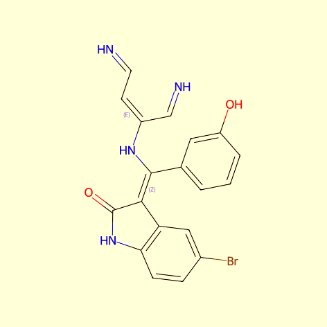 N=C/C=C(\C=N)N/C(=C1\C(=O)Nc2ccc(Br)cc21)c1cccc(O)c1